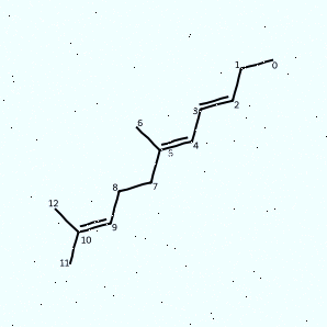 CC/C=C/C=C(\C)CCC=C(C)C